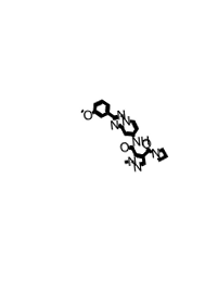 COc1cccc(-c2nc3cc(NC(=O)c4c(C(=O)N5CCC5)cnn4C)ccn3n2)c1